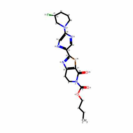 CCCCOC(=O)N1CCc2nc(-c3cnc(N4CCC[C@H](F)C4)cn3)sc2C1=O